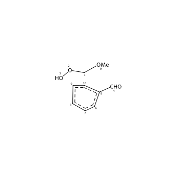 COCOO.O=Cc1ccccc1